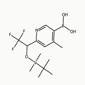 Cc1cc(C(O[Si](C)(C)C(C)(C)C)C(F)(F)F)ncc1B(O)O